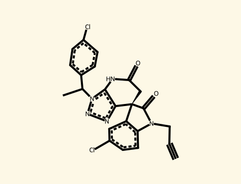 C#CCN1C(=O)[C@]2(CC(=O)Nc3c2nnn3C(C)c2ccc(Cl)cc2)c2cc(Cl)ccc21